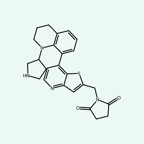 O=C1CCC(=O)N1Cc1cc2nccc(-c3cccc4c3N(C3CCNC3)CCC4)c2s1